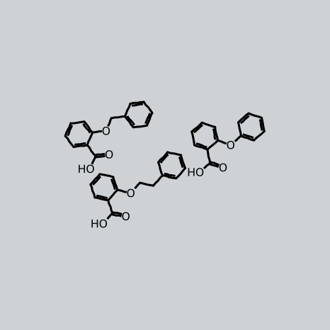 O=C(O)c1ccccc1OCCc1ccccc1.O=C(O)c1ccccc1OCc1ccccc1.O=C(O)c1ccccc1Oc1ccccc1